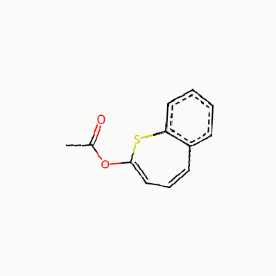 CC(=O)OC1=CC=Cc2ccccc2S1